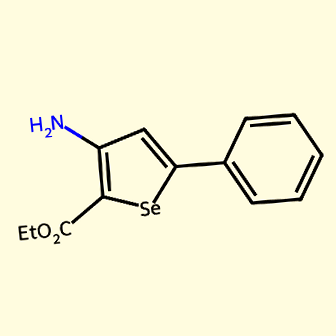 CCOC(=O)c1[se]c(-c2ccccc2)cc1N